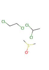 CC(Cl)Cl.C[S+](C)[O-].ClCCCl